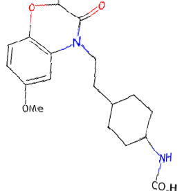 COc1ccc2c(c1)N(CCC1CCC(NC(=O)O)CC1)C(=O)CO2